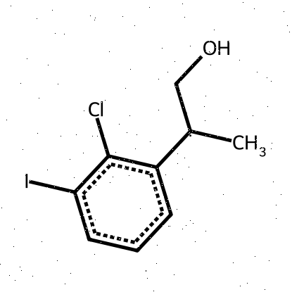 C[C](CO)c1cccc(I)c1Cl